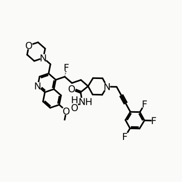 COc1ccc2ncc(CN3CCOCC3)c([C@H](F)CCC3(C(=O)NO)CCN(CC#Cc4cc(F)cc(F)c4F)CC3)c2c1